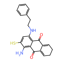 Nc1c(S)cc(NCCc2ccccc2)c2c1C(=O)C1=CCCC=C1C2=O